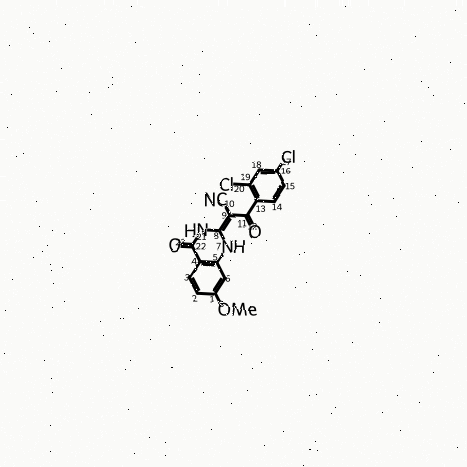 COc1ccc2c(c1)N/C(=C(/C#N)C(=O)c1ccc(Cl)cc1Cl)NC2=O